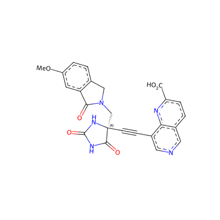 COc1ccc2c(c1)C(=O)N(C[C@@]1(C#Cc3cncc4ccc(C(=O)O)nc34)NC(=O)NC1=O)C2